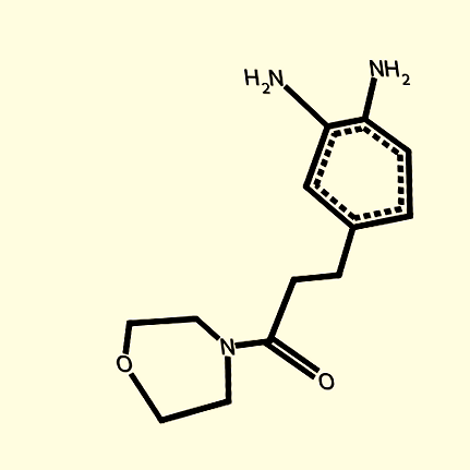 Nc1ccc(CCC(=O)N2CCOCC2)cc1N